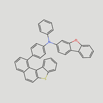 c1ccc(N(c2ccc(-c3cccc4ccc5sc6ccccc6c5c34)cc2)c2ccc3c(c2)oc2ccccc23)cc1